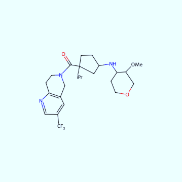 COC1COCCC1NC1CCC(C(=O)N2CCc3ncc(C(F)(F)F)cc3C2)(C(C)C)C1